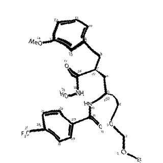 CCOCOC[C@H](C[C@H](Cc1cccc(OC)c1)C(=O)NO)NC(=O)c1ccc(C(F)(F)F)cc1